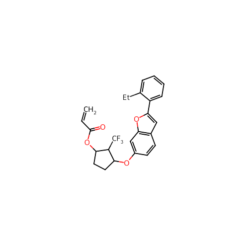 C=CC(=O)OC1CCC(Oc2ccc3cc(-c4ccccc4CC)oc3c2)C1C(F)(F)F